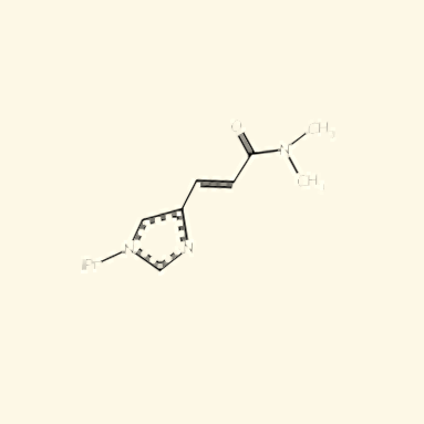 CC(C)n1cnc(C=CC(=O)N(C)C)c1